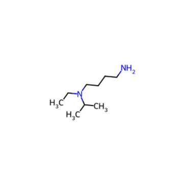 CCN(CCCCN)C(C)C